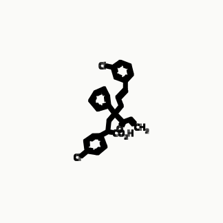 C=CC(=O)C(C/C=C/c1cccc(Cl)c1)(CC(C(=O)O)c1ccc(Cl)cc1)c1ccccc1